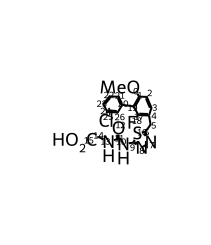 COc1ccc(Cc2nnc(NC(=O)NCC(=O)O)s2)c(F)c1-c1cccc(Cl)c1